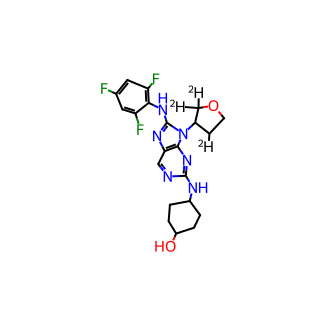 [2H]C1COC([2H])([2H])C1n1c(Nc2c(F)cc(F)cc2F)nc2cnc(NC3CCC(O)CC3)nc21